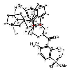 CNS(=O)(=O)c1ccc(C)c(C(=O)N2CCC(CCN3[C@@H]4CC[C@H]3C[C@@H](n3c(C)nc5ccccc53)C4)(c3cccc(F)c3)CC2)c1C